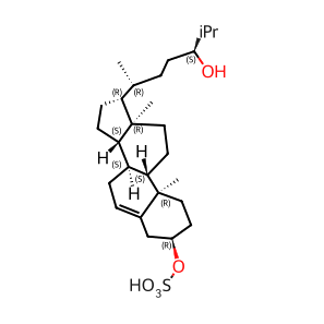 CC(C)[C@@H](O)CC[C@@H](C)[C@H]1CC[C@H]2[C@@H]3CC=C4C[C@H](OS(=O)(=O)O)CC[C@]4(C)[C@H]3CC[C@]12C